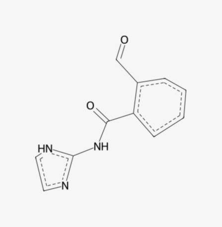 O=Cc1ccccc1C(=O)Nc1ncc[nH]1